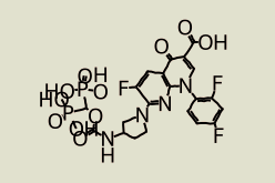 O=C(NC1CCN(c2nc3c(cc2F)c(=O)c(C(=O)O)cn3-c2ccc(F)cc2F)C1)OC(P(=O)(O)O)P(=O)(O)O